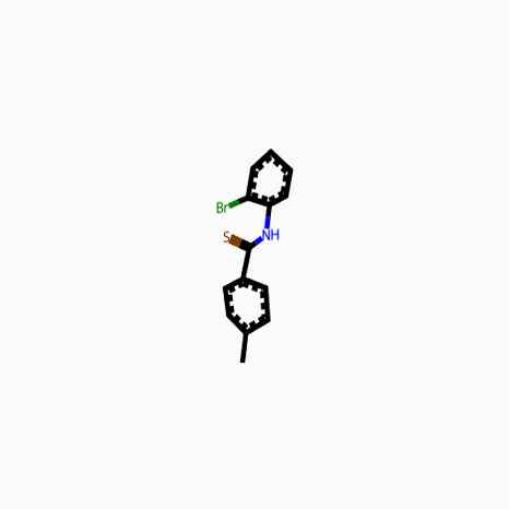 Cc1ccc(C(=S)Nc2ccccc2Br)cc1